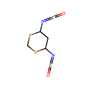 O=C=NC1CC(N=C=O)SCS1